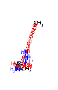 CCCCc1nc2c(N)nc3cc(C(=O)O)ccc3c2n1Cc1ccc(C[N+](C)(C)Cc2ccc(O[C@H]3O[C@H](CO)[C@@H](O)[C@H](O)[C@@H]3O)c(NC(=O)CCNC(=O)[C@@H](N)CCCCNC(=O)CCOCCOCCOCCOCCOCCOCCOCCOCCOCCOCCOCCOC)c2)cc1